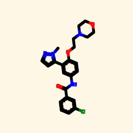 Cn1nccc1-c1cc(NC(=O)c2cccc(Cl)c2)ccc1OCCN1CCOCC1